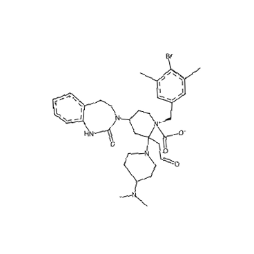 Cc1cc(C[N@+]2(C(=O)[O-])CCC(N3CCc4ccccc4NC3=O)CC2(CC=O)N2CCC(N(C)C)CC2)cc(C)c1Br